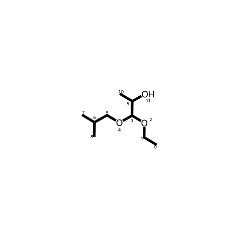 CCOC(OCC(C)C)C(C)O